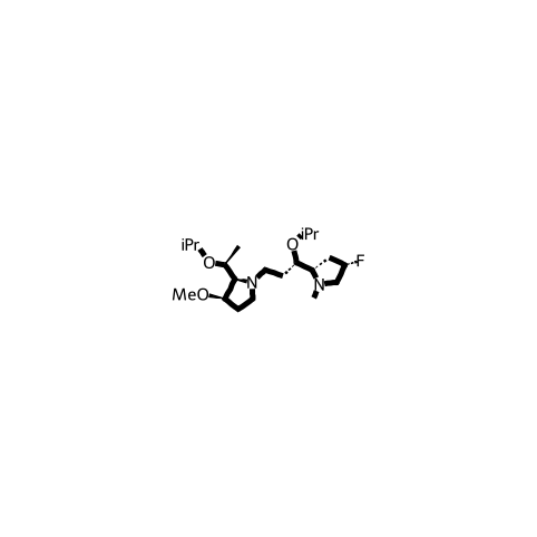 CO[C@@H]1CCN(CC[C@H](OC(C)C)[C@@H]2C[C@H](F)CN2C)[C@@H]1[C@H](C)OC(C)C